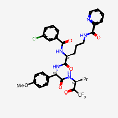 COc1ccc([C@H](NC(=O)[C@H](CCCNC(=O)c2ccccn2)NC(=O)c2cccc(Cl)c2)C(=O)N[C@H](C(=O)C(F)(F)F)C(C)C)cc1